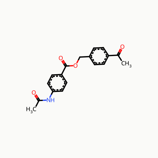 CC(=O)Nc1ccc(C(=O)OCc2ccc(C(C)=O)cc2)cc1